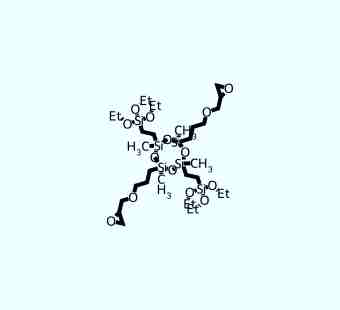 CCO[Si](CC[Si]1(C)O[Si](C)(CCCOCC2CO2)O[Si](C)(CC[Si](OCC)(OCC)OCC)O[Si](C)(CCCOCC2CO2)O1)(OCC)OCC